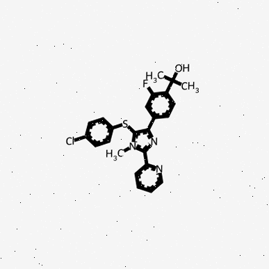 Cn1c(-c2ccccn2)nc(-c2ccc(C(C)(C)O)c(F)c2)c1Sc1ccc(Cl)cc1